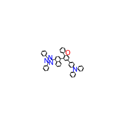 c1ccc(-c2nc(-c3ccccc3)nc(-c3ccc(-c4cc(-c5ccc(N(c6ccccc6)c6ccccc6)cc5)cc5oc6ccccc6c45)c4ccccc34)n2)cc1